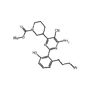 CC(C)CCCc1cccc(O)c1-c1nc(N)c(C#N)c(C2CCCN(C(=O)OC(C)(C)C)C2)n1